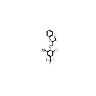 O=[C]C(COc1c(Cl)cc(C(F)(F)F)cc1Cl)Oc1ccccc1